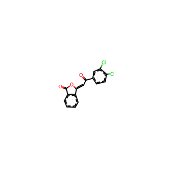 O=C(C=C1OC(=O)c2ccccc21)c1ccc(Cl)c(Cl)c1